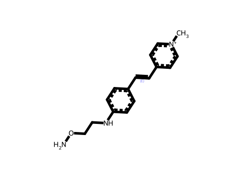 C[n+]1ccc(/C=C/c2ccc(NCCON)cc2)cc1